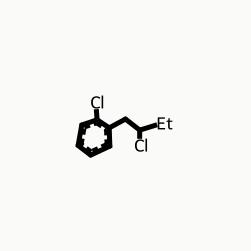 CCC(Cl)Cc1ccccc1Cl